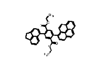 CCOC(=O)c1cc(-c2ccc3ccc4cccc5ccc2c3c45)c(C(=O)OCC)cc1-c1ccc2c3c(cccc13)CC2